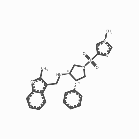 Cc1oc2ccccc2c1CN[C@H]1CN(S(=O)(=O)c2cn(C)cn2)C[C@@H]1c1ccccc1